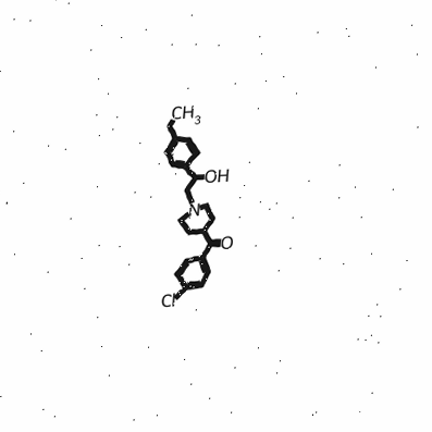 CCc1ccc(C(O)CN2CCC(C(=O)c3ccc(Cl)cc3)CC2)cc1